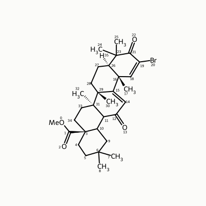 COC(=O)[C@]12CCC(C)(C)CC1C1C(=O)C=C3[C@@]4(C)C=C(Br)C(=O)C(C)(C)[C@@H]4CC[C@@]3(C)[C@]1(C)CC2